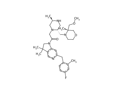 COC[C@]1(C)COCCN1C[C@H]1CN[C@H](C)CN1CC(=O)N1CC(C)(C)c2cnc(Cc3ccc(F)cc3C)cc21